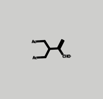 C=C([C]=O)C(CC(C)=O)CC(C)=O